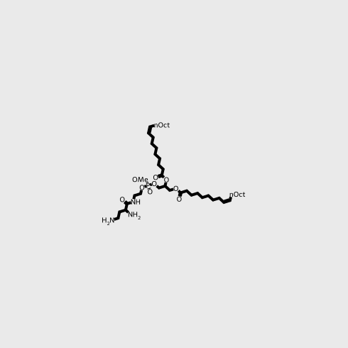 CCCCCCCC/C=C\CCCCCCCC(=O)OCC(COP(=O)(OC)OCCNC(=O)C(N)CCN)OC(=O)CCCCCCC/C=C\CCCCCCCC